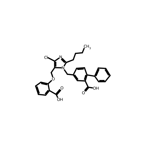 CCCCc1nc(Cl)c(COc2ccccc2C(=O)O)n1Cc1ccc(-c2ccccc2)c(C(=O)O)c1